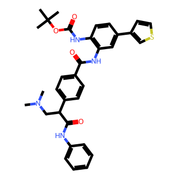 CN(C)CC(C(=O)Nc1ccccc1)c1ccc(C(=O)Nc2cc(-c3ccsc3)ccc2NC(=O)OC(C)(C)C)cc1